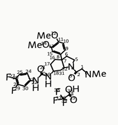 CNCC(=O)N1CCC2(c3ccc(OC)c(OC)c3)CCC(NC(=O)Nc3ccc(F)c(F)c3)CC12.O=C(O)C(F)(F)F